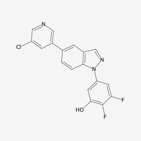 Oc1cc(-n2ncc3cc(-c4cncc(Cl)c4)ccc32)cc(F)c1F